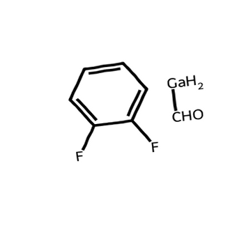 Fc1ccccc1F.O=[CH][GaH2]